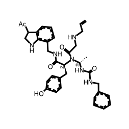 C=CCNCC(=O)N([C@H](C)NC(=O)NCc1ccccc1)[C@@H](Cc1ccc(O)cc1)C(=O)NCc1cccc2c1NCC2C(C)=O